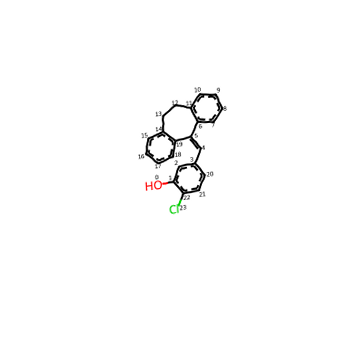 Oc1cc(C=C2c3ccccc3CCc3ccccc32)ccc1Cl